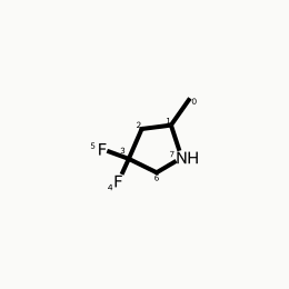 CC1CC(F)(F)CN1